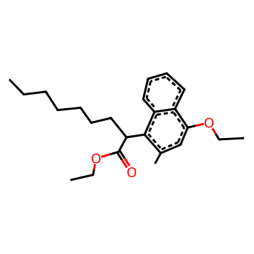 CCCCCCCC(C(=O)OCC)c1c(C)cc(OCC)c2ccccc12